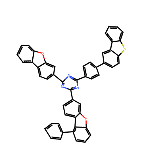 c1ccc(-c2cccc3oc4cc(-c5nc(-c6ccc(-c7ccc8sc9ccccc9c8c7)cc6)nc(-c6ccc7c(c6)oc6ccccc67)n5)ccc4c23)cc1